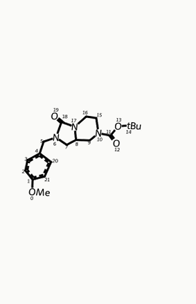 COc1ccc(CN2CC3CN(C(=O)OC(C)(C)C)CCN3C2=O)cc1